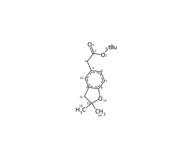 CC(C)(C)OC(=O)Cc1ccc2c(c1)CC(C)(C)O2